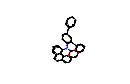 c1ccc(-c2ccc(N(c3ccccc3)c3cccc4ccc5ccccc5c34)c(-c3ccccc3)c2)cc1